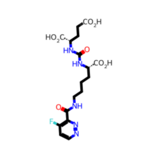 O=C(O)CC[C@H](NC(=O)N[C@@H](CCCCNC(=O)c1nnccc1F)C(=O)O)C(=O)O